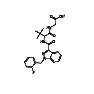 CC(C)(C)C(NC(=O)c1nn(Cc2ccccc2F)c2ccccc12)C(=O)NCC(=O)O